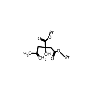 C=C(C)C[C@@](O)(CC(=O)OC(C)C)C(=O)OC(C)C